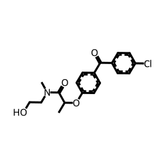 CC(Oc1ccc(C(=O)c2ccc(Cl)cc2)cc1)C(=O)N(C)CCO